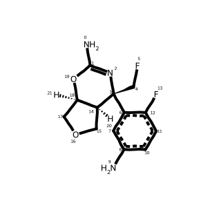 NC1=N[C@](CF)(c2cc(N)ccc2F)[C@H]2COC[C@H]2O1